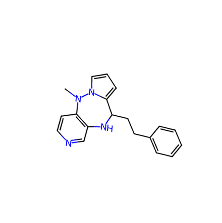 CN1c2ccncc2NC(CCc2ccccc2)c2cccn21